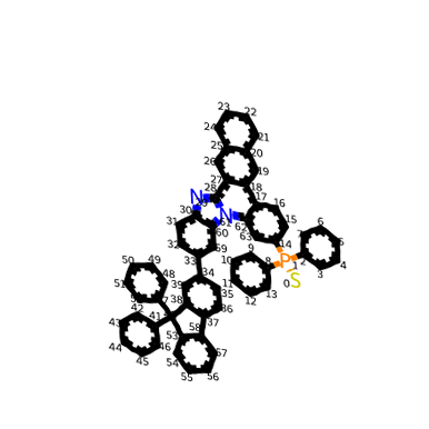 S=P(c1ccccc1)(c1ccccc1)c1ccc2c3cc4ccccc4cc3c3nc4ccc(-c5ccc6c(c5)C(c5ccccc5)(c5ccccc5)c5ccccc5-6)cc4n3c2c1